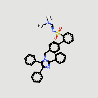 CN(C)/C=N/S(=O)(=O)c1ccccc1-c1ccc(Cn2c(-c3ccccc3)nc(-c3ccccc3)c2-c2ccccc2)cc1